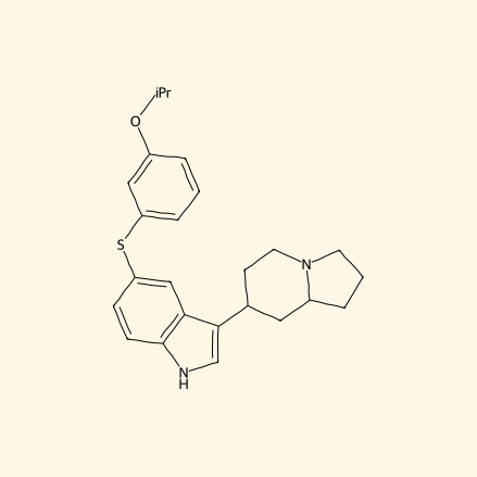 CC(C)Oc1cccc(Sc2ccc3[nH]cc(C4CCN5CCCC5C4)c3c2)c1